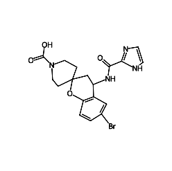 O=C(NC1CC2(CCN(C(=O)O)CC2)Oc2ccc(Br)cc21)c1ncc[nH]1